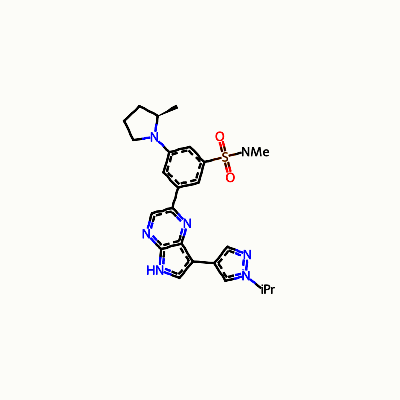 CNS(=O)(=O)c1cc(-c2cnc3[nH]cc(-c4cnn(C(C)C)c4)c3n2)cc(N2CCC[C@H]2C)c1